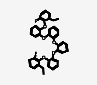 CCc1cccc(F)c1Oc1ccccc1Oc1ccccc1Oc1ccccc1Oc1ccccc1Oc1c(F)cccc1CC